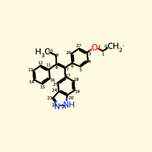 [CH2]COc1ccc(C(=C(CC)c2ccccc2)c2ccc3[nH]ncc3c2)cc1